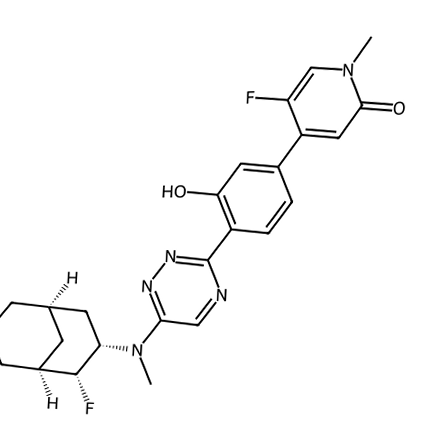 CN(c1cnc(-c2ccc(-c3cc(=O)n(C)cc3F)cc2O)nn1)[C@H]1C[C@@H]2CCC[C@@H](C2)[C@H]1F